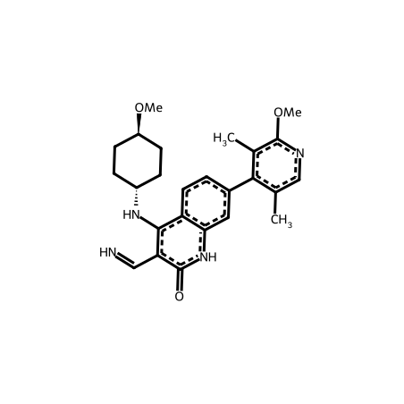 COc1ncc(C)c(-c2ccc3c(N[C@H]4CC[C@H](OC)CC4)c(C=N)c(=O)[nH]c3c2)c1C